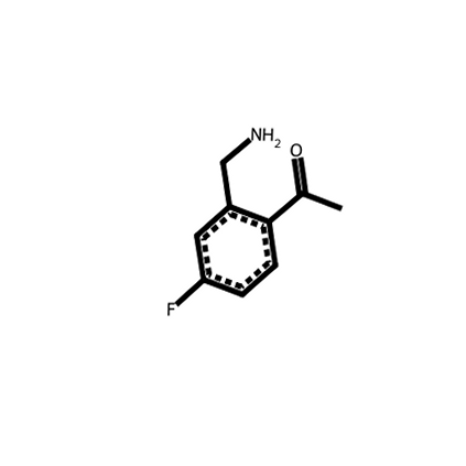 CC(=O)c1ccc(F)cc1CN